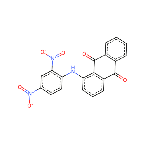 O=C1c2ccccc2C(=O)c2c(Nc3ccc([N+](=O)[O-])cc3[N+](=O)[O-])cccc21